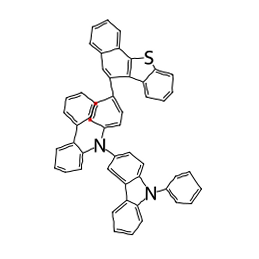 c1ccc(-c2ccccc2N(c2ccc(-c3cc4ccccc4c4sc5ccccc5c34)cc2)c2ccc3c(c2)c2ccccc2n3-c2ccccc2)cc1